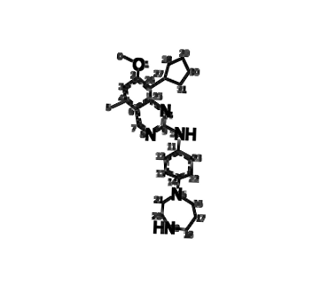 COc1cc(C)c2cnc(Nc3ccc(N4CCCNCC4)cc3)nc2c1C1CCCC1